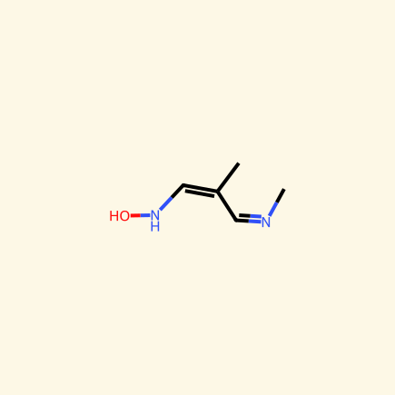 C/N=C\C(C)=C/NO